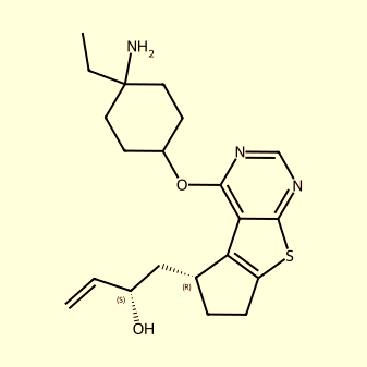 C=C[C@@H](O)C[C@H]1CCc2sc3ncnc(OC4CCC(N)(CC)CC4)c3c21